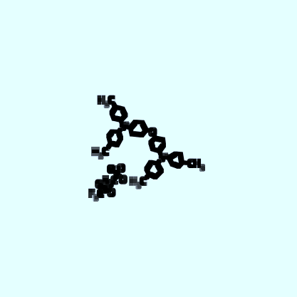 Cc1ccc([S+](c2ccc(C)cc2)c2ccc(Oc3ccc([S+](c4ccc(C)cc4)c4ccc(C)cc4)cc3)cc2)cc1.O=S(=O)([O-])C(F)(F)F.O=S(=O)([O-])C(F)(F)F